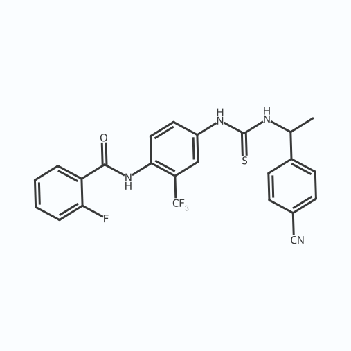 CC(NC(=S)Nc1ccc(NC(=O)c2ccccc2F)c(C(F)(F)F)c1)c1ccc(C#N)cc1